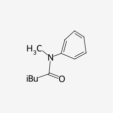 CCC(C)C(=O)N(C)c1ccccc1